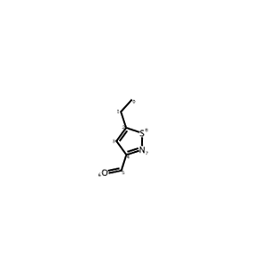 CCc1cc(C=O)ns1